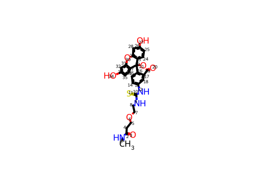 CNC(=O)CCOCCNC(=S)Nc1ccc2c(c1)C(=O)OC21c2ccc(O)cc2Oc2cc(O)ccc21